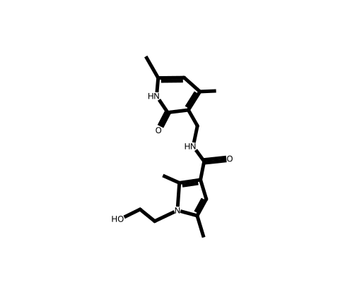 Cc1cc(C)c(CNC(=O)c2cc(C)n(CCO)c2C)c(=O)[nH]1